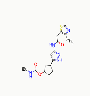 CC[C@H](C)NC(=O)O[C@@H]1CC[C@H](c2cc(NC(=O)Cc3scnc3C)n[nH]2)C1